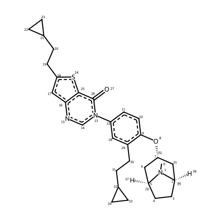 CN1[C@@H]2CC[C@H]1C[C@H](Oc1ccc(-n3cnc4cc(CCC5CC5)sc4c3=O)cc1CCC1CC1)C2